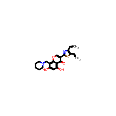 C=Cc1nc(-c2coc3c(CN4CCCCC4)c(O)cc(O)c3c2=O)sc1C=C